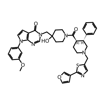 COc1cccc(-n2ccc3c(=O)n(CC4(O)CCN(C(=O)[C@@H]5CCN(Cc6cnc(-c7ccoc7)s6)C[C@H]5c5ccccc5)CC4)cnc32)c1